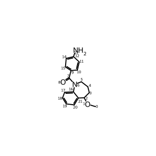 COC1CCCN(C(=O)c2ccc(N)cc2)c2ccccc21